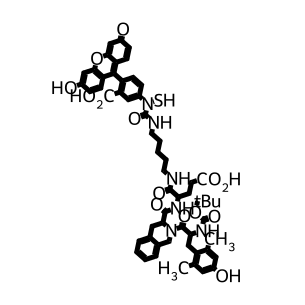 Cc1cc(O)cc(C)c1CC(NC(=O)OC(C)(C)C)C(=O)N1Cc2ccccc2CC1C(=O)NC(CCC(=O)O)C(=O)NCCCCCNC(=O)N(S)c1ccc(-c2c3ccc(=O)cc-3oc3cc(O)ccc23)c(C(=O)O)c1